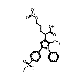 Cc1c(C(CCCO[N+](=O)[O-])C(=O)O)cc(-c2ccc(S(C)(=O)=O)cc2)n1-c1ccccc1